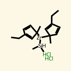 CCC1=C[C](C)([Zr]([SiH](C)C)[C]2(C)C=CC(CC)=C2)C=C1.Cl.Cl